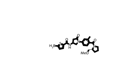 Bc1ccc(C(=O)NC2CC(=O)N(c3ccc(C(=O)N4CCC[C@@H]4COC)c(C)c3)C2)s1